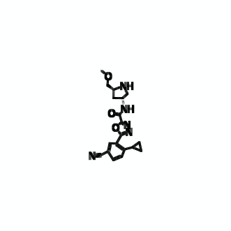 COC[C@@H]1C[C@@H](NC(=O)c2nnc(-c3cc(C#N)ccc3C3CC3)o2)CN1